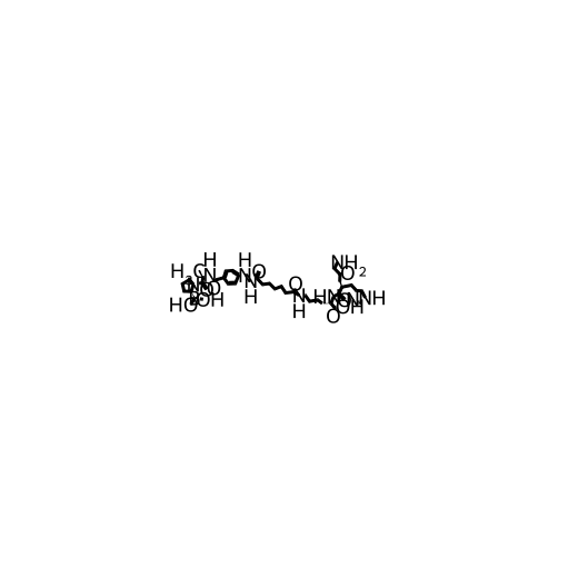 C[C@@H](NC(=O)c1ccc(NNC(=O)CCCCCC(=O)NCCCC[C@H](NC(=O)[C@@H](CC(=O)CN)CC2CNC=N2)C(=O)O)cc1)C(=O)N1CCC[C@H]1B(O)O